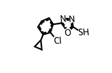 Sc1nnc(-c2cccc(C3CC3)c2Cl)o1